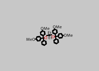 CCC(CC)(COC(c1ccccc1)(c1ccc(OC)cc1)c1ccc(OC)cc1)COC(c1ccccc1)(c1ccc(OC)cc1)c1ccc(OC)cc1